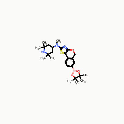 CN(c1nc2c(s1)-c1ccc(B3OC(C)(C)C(C)(C)O3)cc1CO2)C1CC(C)(C)NC(C)(C)C1